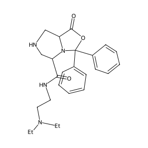 CCN(CC)CCNC(=O)C1CNCC2C(=O)OC(c3ccccc3)(c3ccccc3)N12